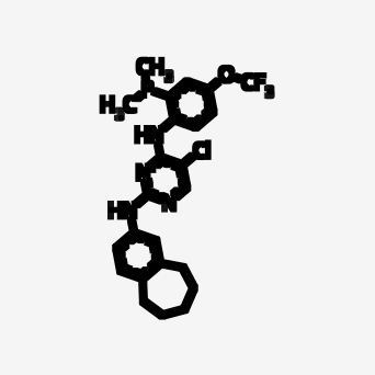 CP(C)c1cc(OC(F)(F)F)ccc1Nc1nc(Nc2ccc3c(c2)CCCCC3)ncc1Cl